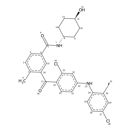 Cc1ccc(C(=O)N[C@H]2CC[C@H](O)CC2)cc1C(=O)c1ccc(Nc2ccc(Cl)cc2F)cc1Cl